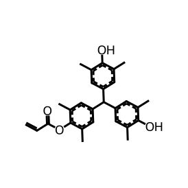 C=CC(=O)Oc1c(C)cc(C(c2cc(C)c(O)c(C)c2)c2cc(C)c(O)c(C)c2)cc1C